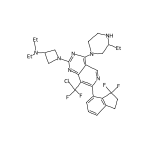 CCC1CN(c2nc(N3CC(N(CC)CC)C3)nc3c(C(F)(F)Cl)c(-c4cccc5c4C(F)(F)CC5)ncc23)CCN1